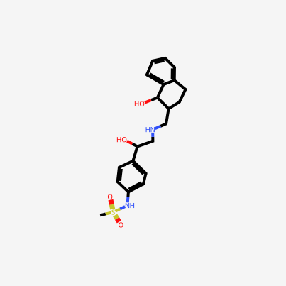 CS(=O)(=O)Nc1ccc(C(O)CNCC2CCc3ccccc3C2O)cc1